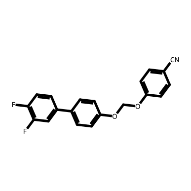 N#Cc1ccc(OCOc2ccc(-c3ccc(F)c(F)c3)cc2)cc1